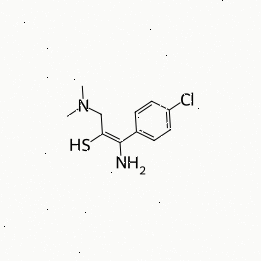 CN(C)C/C(S)=C(/N)c1ccc(Cl)cc1